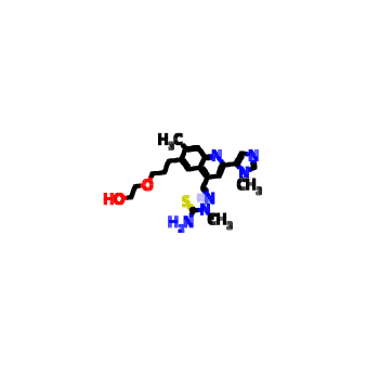 Cc1cc2nc(-c3cncn3C)cc(/C=N/N(C)C(N)=S)c2cc1CCCOCCO